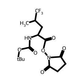 CC(CC(NC(=O)OC(C)(C)C)C(=O)ON1C(=O)CCC1=O)C(F)(F)F